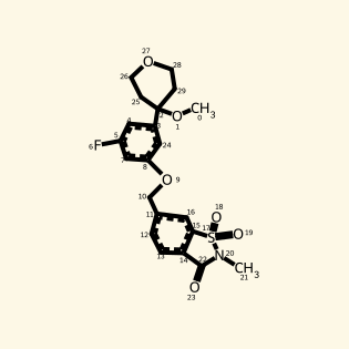 COC1(c2cc(F)cc(OCc3ccc4c(c3)S(=O)(=O)N(C)C4=O)c2)CCOCC1